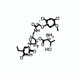 CCc1cn([C@@H]2O[C@@H](CNC(=O)[C@H](C)Oc3cc(OC)c(Cl)cc3Cl)[C@H](OC(=O)[C@H](N)C(C)C)[C@@H]2F)c(=O)[nH]c1=O.Cl